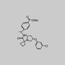 COC(=O)c1ccc(C(C)NC(=O)C2(N3CC[C@@H](Oc4cccc(Cl)c4)C3)CCC2)cc1